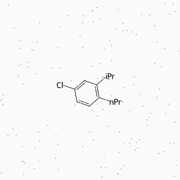 CC[CH]c1ccc(Cl)cc1C(C)C